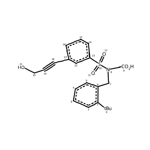 CC(C)(C)c1ccccc1CN(C(=O)O)S(=O)(=O)c1cccc(C#CCO)c1